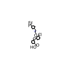 O=C(O)c1cccc(Oc2cccc(Cl)c2OC/C=C/c2ccc(C(F)(F)F)cc2)c1